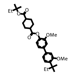 CCC(C)(C)OC(=O)C1CCC(C(=O)Oc2ccc(-c3ccc(C(C)(C)CC)c(OC)c3)cc2OC)CC1